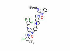 CCCC(C)N1CCC(N(Cc2ccccc2)C(=O)Nc2ccc3nc(-c4ccc(CN(C(=O)Nc5cc(F)cc(C(F)(F)F)c5)C5CCN(Cc6cc(F)c(F)c(F)c6)CC5)cc4)ccc3c2)CC1